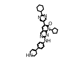 O=c1c(-c2cnc(C3CCCCC3)nc2)cc2cnc(Nc3ccc(C4=CCNCC4)cc3)nc2n1C1CCCC1